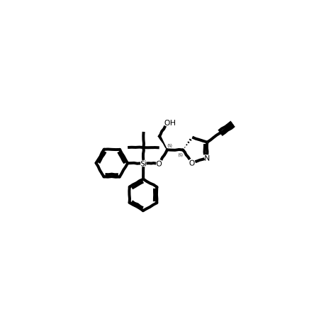 C#CC1=NO[C@H]([C@H](CO)O[Si](c2ccccc2)(c2ccccc2)C(C)(C)C)C1